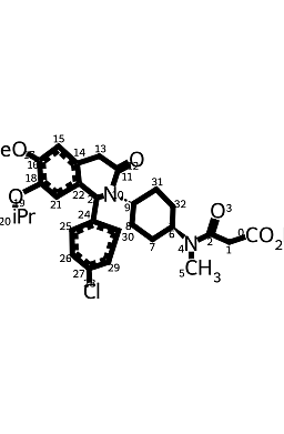 CCOC(=O)CC(=O)N(C)[C@H]1CC[C@H](N2C(=O)Cc3cc(OC)c(OC(C)C)cc3C2c2ccc(Cl)cc2)CC1